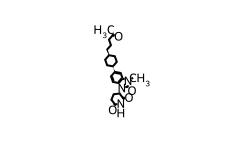 CC(=O)CCC[C@H]1CC[C@H](c2ccc3c(c2)n(C)c(=O)n3C2CCC(=O)NC2=O)CC1